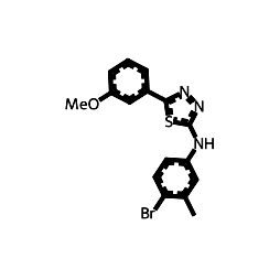 COc1cccc(-c2nnc(Nc3ccc(Br)c(C)c3)s2)c1